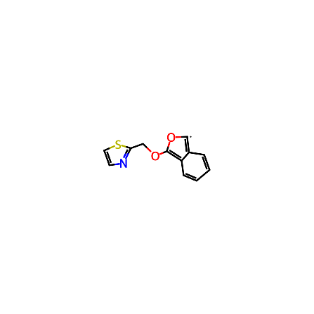 [c]1oc(OCc2nccs2)c2ccccc12